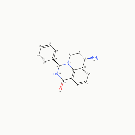 N[C@@H]1CCN2c3c(cccc31)C(=O)N[C@H]2c1ccccc1